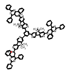 CC(Cc1c(-c2ccccc2)nc(-c2ccccc2)nc1-c1ccccc1)c1cc2c(cn1)-c1cnc(-c3cc(-c4cc5c(cn4)-c4cnc(C(C)Cc6c(-c7ccccc7)nc(-c7ccccc7)nc6-c6ccccc6)cc4[Si]5(C)C)cc(-c4cc5c(cn4)-c4cnc(C(C)Cc6c(-c7ccccc7)nc(C7C=CC=CC7)nc6-c6ccccc6)cc4S5(C)C)c3)cc1[Si]2(C)C